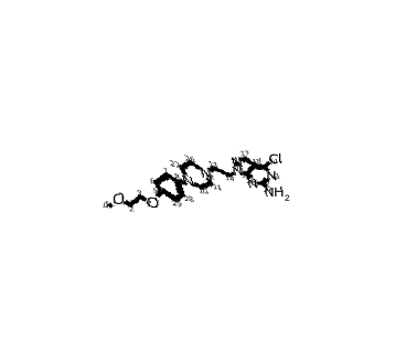 COCCOc1ccc(N2CCN(CCn3ncc4c(Cl)nc(N)nc43)CC2)cc1